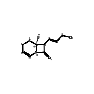 O=C1C(C=CCCl)[C@@H]2SCC=CN12